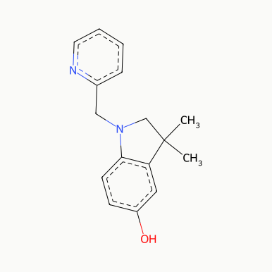 CC1(C)CN(Cc2ccccn2)c2ccc(O)cc21